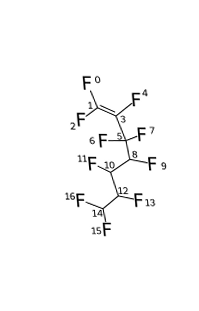 FC(F)=C(F)C(F)(F)C(F)C(F)C(F)C(F)F